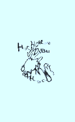 COC(=O)NC1(C)CC(N2C(=O)c3cccc(c3)S(=O)(=O)Nc3nc(cc(-c4c(C)cccc4C)n3)OC[C@H]2CC(C)(C)C)C1